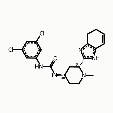 CN1CC[C@@H](NC(=O)Nc2cc(Cl)cc(Cl)c2)C[C@@H]1c1nc2c([nH]1)C=CCC2